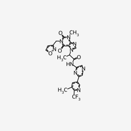 Cc1cc(-c2cncc(NC(=O)C(C)n3cnc4c3c(=O)n(Cc3ccon3)c(=O)n4C)n2)cnc1C(F)(F)F